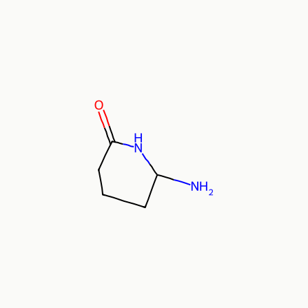 NC1CCCC(=O)N1